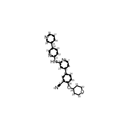 N#Cc1cc(-c2ccnc(Nc3ccc(-c4cccnc4)cn3)c2)ccc1OC1CCOCC1